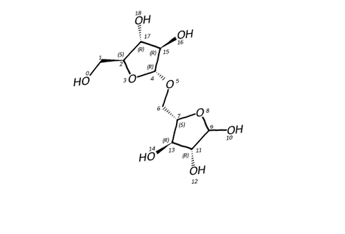 OC[C@@H]1O[C@@H](OC[C@@H]2OC(O)[C@H](O)[C@H]2O)[C@H](O)[C@H]1O